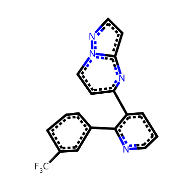 FC(F)(F)c1cccc(-c2ncccc2-c2ccn3nccc3n2)c1